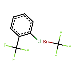 FC(F)(F)Br.FC(F)(F)c1ccccc1Cl